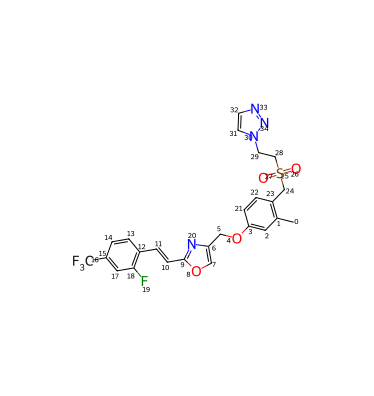 Cc1cc(OCc2coc(C=Cc3ccc(C(F)(F)F)cc3F)n2)ccc1CS(=O)(=O)CCn1ccnn1